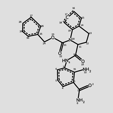 NC(=O)c1cccc(NC(=O)C2CCc3ccccc3N2C(=O)OCc2ccccc2)c1N